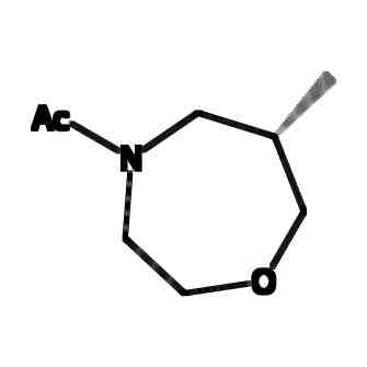 CC(=O)N1CCOC[C@@H](C)C1